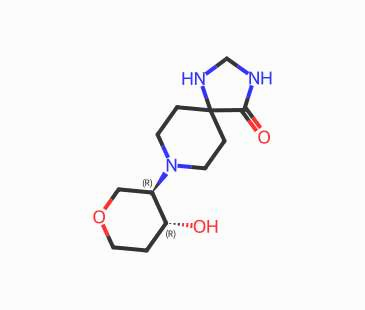 O=C1NCNC12CCN([C@@H]1COCC[C@H]1O)CC2